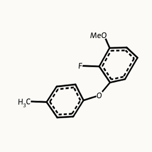 COc1cccc(Oc2ccc(C)cc2)c1F